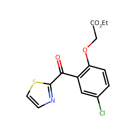 CCOC(=O)COc1ccc(Cl)cc1C(=O)c1nccs1